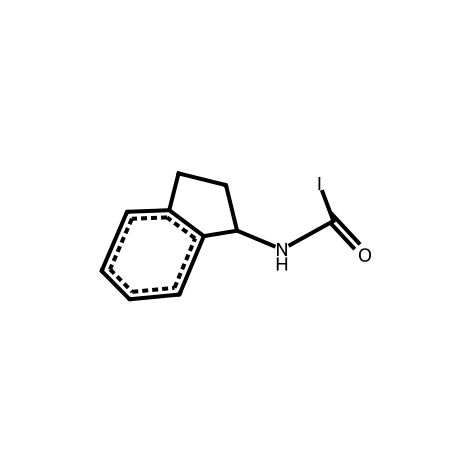 O=C(I)NC1CCc2ccccc21